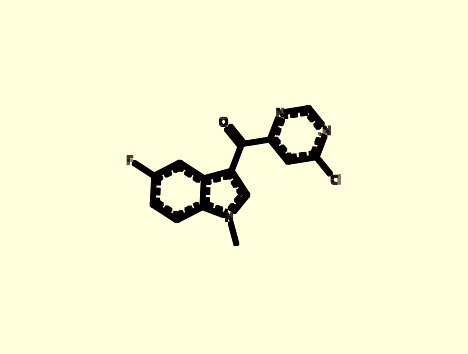 Cn1cc(C(=O)c2cc(Cl)ncn2)c2cc(F)ccc21